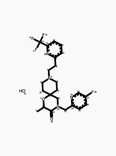 CC1OC2(CCN(CCc3cccc(C(F)(F)F)n3)CC2)CN(Cc2ccc(F)cn2)C1=O.Cl